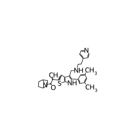 C=C(C(=O)N1C2CCC1CC2)c1cc2c(CNCCc3ccncc3)c(-c3cc(C)cc(C)c3)[nH]c2s1